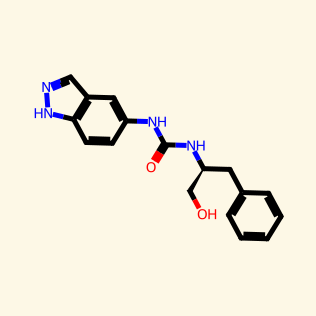 O=C(Nc1ccc2[nH]ncc2c1)N[C@H](CO)Cc1ccccc1